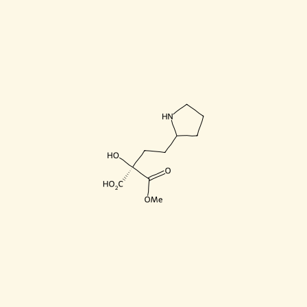 COC(=O)[C@@](O)(CCC1CCCN1)C(=O)O